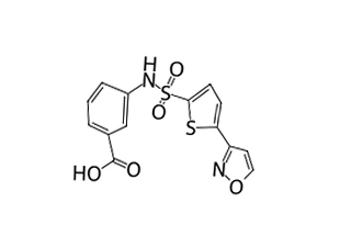 O=C(O)c1cccc(NS(=O)(=O)c2ccc(-c3ccon3)s2)c1